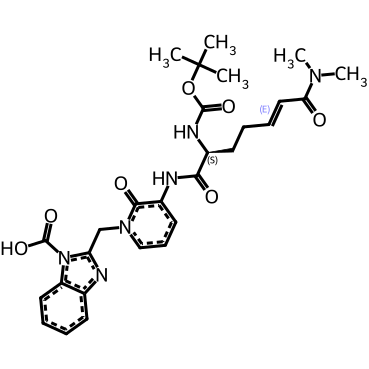 CN(C)C(=O)/C=C/CC[C@H](NC(=O)OC(C)(C)C)C(=O)Nc1cccn(Cc2nc3ccccc3n2C(=O)O)c1=O